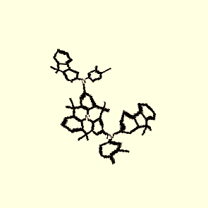 Cc1ccc(N(c2ccc3c(c2)-c2ccccc2C3(C)C)c2cc3c4c(c2)C(C)(C)c2cc(N(c5ccc(C)c(C)c5)c5ccc6c(c5)C(C)(C)c5ccccc5-6)cc5c2N4c2c(cccc2C5(C)C)C3(C)C)cc1C